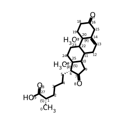 C[C@@H](CCCC[C@H]1C(=O)CC2C3CC=C4CC(=O)CC[C@]4(C)C3CC[C@@]21C)C(=O)O